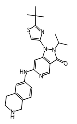 CC(C)n1c(=O)c2cnc(Nc3ccc4c(c3)CCNC4)cc2n1-c1csc(C(C)(C)C)n1